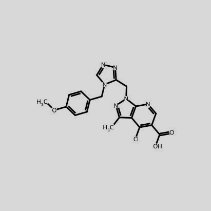 COc1ccc(Cn2cnnc2Cn2nc(C)c3c(Cl)c(C(=O)O)cnc32)cc1